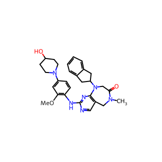 COc1cc(N2CCC(O)CC2)ccc1Nc1ncc2c(n1)N(C1Cc3ccccc3C1)CC(=O)N(C)C2